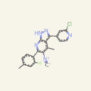 [C-]#[N+]c1c(-c2ccc(C)cc2F)nc2[nH]nc(-c3ccnc(Cl)c3)c2c1C